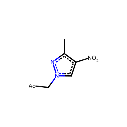 CC(=O)Cn1cc([N+](=O)[O-])c(C)n1